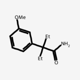 CCC(CC)(C(N)=O)c1cccc(OC)c1